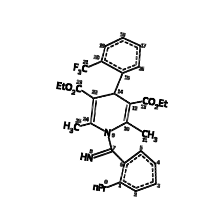 CCCc1ccccc1C(=N)N1C(C)=C(C(=O)OCC)C(c2ccccc2C(F)(F)F)C(C(=O)OCC)=C1C